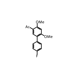 COc1cc(OC)c(-c2ccc(F)cc2)cc1C(C)=O